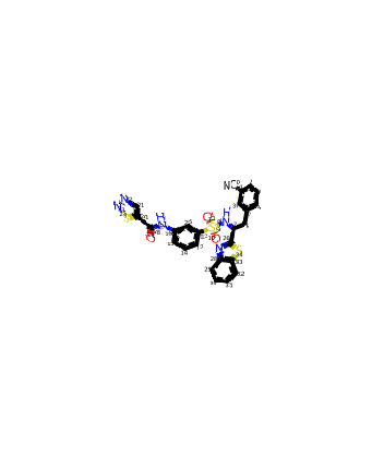 N#Cc1cccc(CC(NS(=O)(=O)c2cccc(NC(=O)c3cnns3)c2)c2nc3ccccc3s2)c1